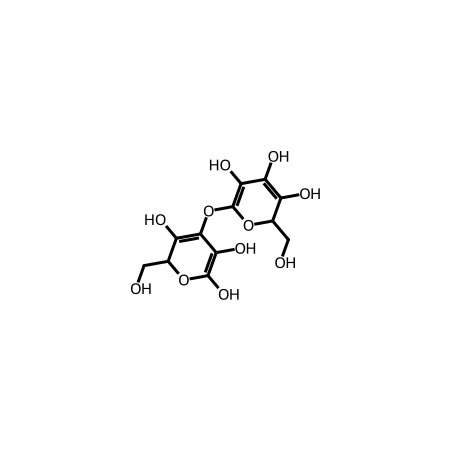 OCC1OC(OC2=C(O)C(CO)OC(O)=C2O)=C(O)C(O)=C1O